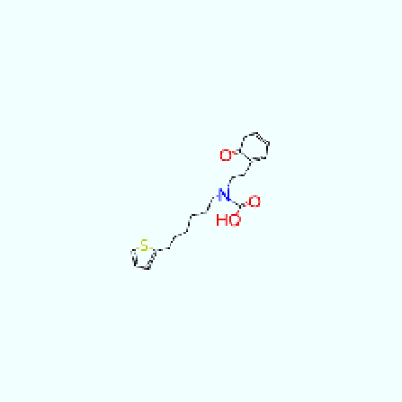 O=C1CC=CC=C1CCN(CCCCCCc1cccs1)C(=O)O